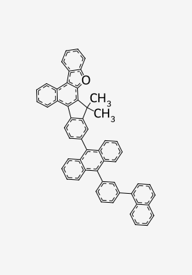 CC1(C)c2cc(-c3c4ccccc4c(-c4cccc(-c5cccc6ccccc56)c4)c4ccccc34)ccc2-c2c1c1oc3ccccc3c1c1ccccc21